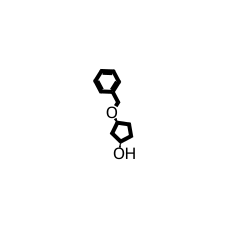 O[C@H]1CC[C@H](OCc2ccccc2)C1